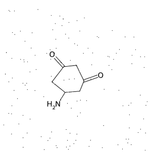 NC1CC(=O)CC(=O)C1